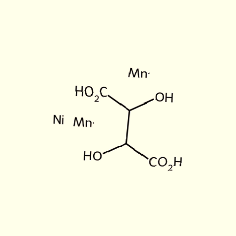 O=C(O)C(O)C(O)C(=O)O.[Mn].[Mn].[Ni]